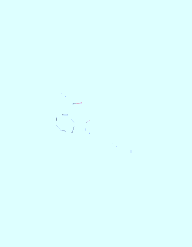 CCCCN1CCC(N2C(=O)c3c(C(N)=O)cccc3C2C)CC1